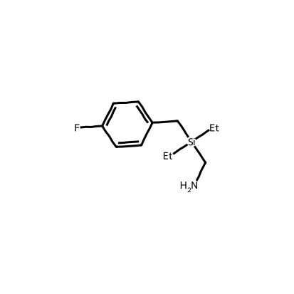 CC[Si](CC)(CN)Cc1ccc(F)cc1